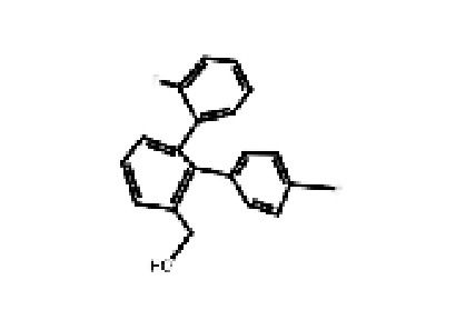 OCc1cccc(-c2ccccc2F)c1-c1ccc(F)cc1